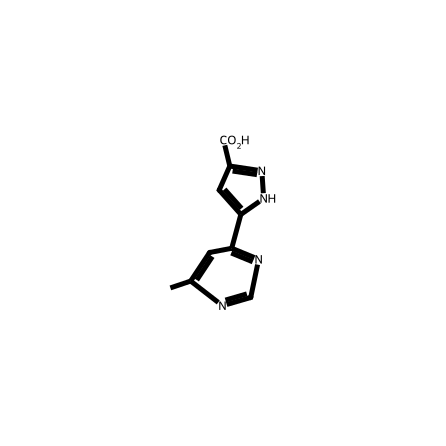 Cc1cc(-c2cc(C(=O)O)n[nH]2)ncn1